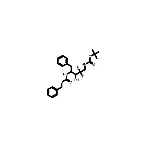 CC(C)(C)OC(=O)NCC(F)(F)C(O)C(Cc1ccccc1)NC(=O)OCc1ccccc1